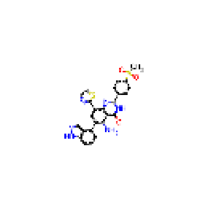 CS(=O)(=O)c1ccc(-c2nc3c(-c4nccs4)cc(-c4cccc5[nH]ncc45)c(N)c3c(=O)[nH]2)cc1